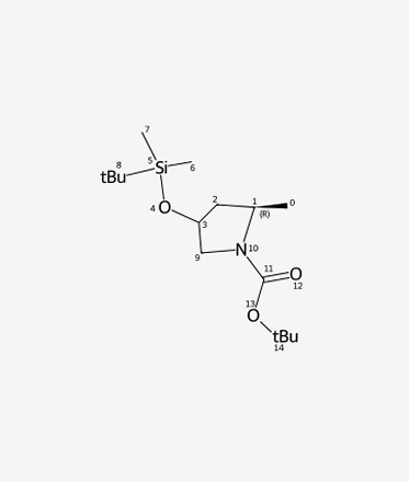 C[C@@H]1CC(O[Si](C)(C)C(C)(C)C)CN1C(=O)OC(C)(C)C